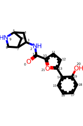 O=C(NC1CC2CC1CN2)c1ccc(-c2ccccc2O)o1